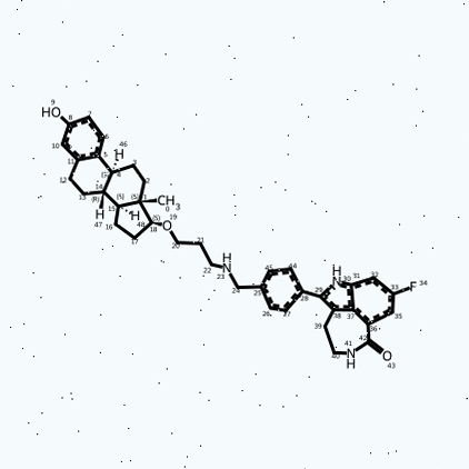 C[C@]12CC[C@@H]3c4ccc(O)cc4CC[C@H]3[C@@H]1CC[C@@H]2OCCCNCc1ccc(-c2[nH]c3cc(F)cc4c3c2CCNC4=O)cc1